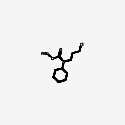 CCCCOC(=O)N(CCCCl)C1CCCCC1